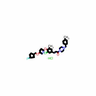 Cc1ccc(CN2CCN(C(=O)/C=C/c3cc(C)c(Oc4ccc(OCc5ccc(F)cc5)cn4)c(Cl)c3)CC2)cc1.Cl